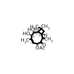 C=C1C(=O)[C@H](OC(C)=O)/C=C(/C)[C@@H](O)[C@@H](O)[C@H]2[C@@H]1CC2(C)C